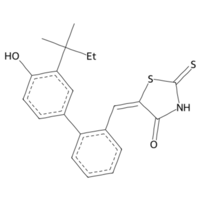 CCC(C)(C)c1cc(-c2ccccc2/C=C2/SC(=S)NC2=O)ccc1O